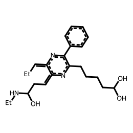 CC/C=c1/nc(-c2ccccc2)c(CCCCC(O)O)n/c1=C/CC(O)NCC